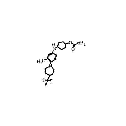 Cc1cc(NC2CCC(OC(N)=O)CC2)ccc1N1CCC(C(F)(F)F)CC1